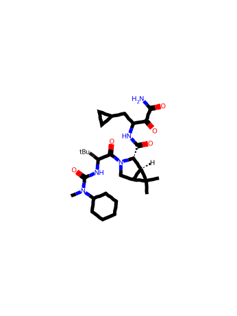 CN(C(=O)NC(C(=O)N1CC2[C@@H]([C@H]1C(=O)NC(CC1CC1)C(=O)C(N)=O)C2(C)C)C(C)(C)C)C1CCCCC1